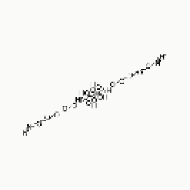 [N-]=[N+]=NCCOCCOCCOCCOCCOCCNC(=O)[C@@H](O)[C@H](O)[C@H](O)[C@@H](O)C(=O)NCCOCCOCCOCCOCCOCCN=[N+]=[N-]